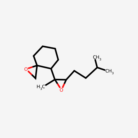 CC(C)CCC1OC1(C)C1CCCCC12CO2